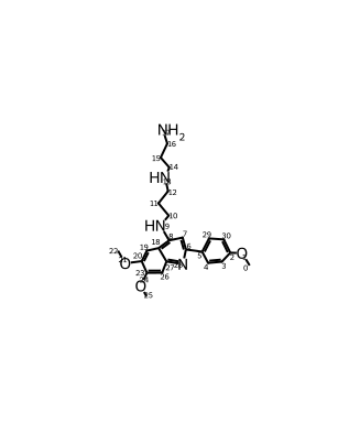 COc1ccc(-c2cc(NCCCNCCCN)c3cc(OC)c(OC)cc3n2)cc1